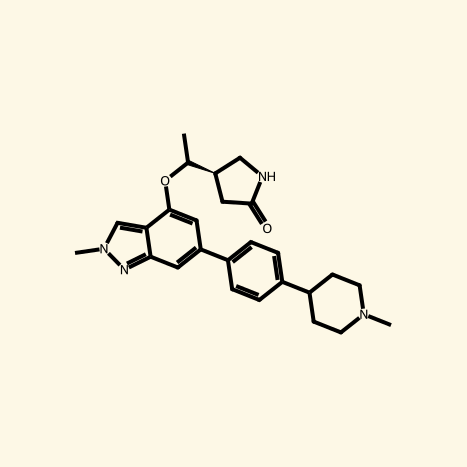 CC(Oc1cc(-c2ccc(C3CCN(C)CC3)cc2)cc2nn(C)cc12)[C@H]1CNC(=O)C1